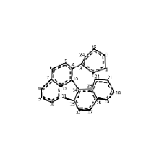 c1ccc(-c2ccc3cccc4c3c2-c2c-4ccc3ccccc23)cc1